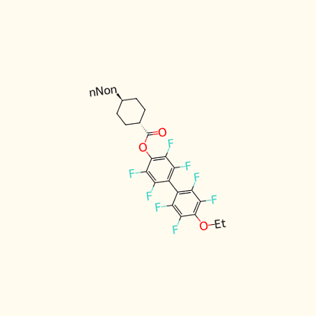 CCCCCCCCC[C@H]1CC[C@H](C(=O)Oc2c(F)c(F)c(-c3c(F)c(F)c(OCC)c(F)c3F)c(F)c2F)CC1